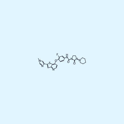 Cn1cnc(-c2cc3nccc(Oc4ccc(NC(=O)N5CCN(N6CCCCC6)C5=O)cc4F)c3s2)c1